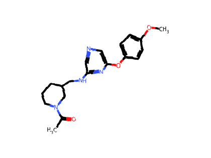 COc1ccc(Oc2cncc(NCC3CCCN(C(C)=O)C3)n2)cc1